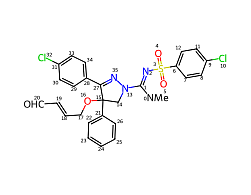 CN/C(=N\S(=O)(=O)c1ccc(Cl)cc1)N1CC(OC/C=C/C=O)(c2ccccc2)C(c2ccc(Cl)cc2)=N1